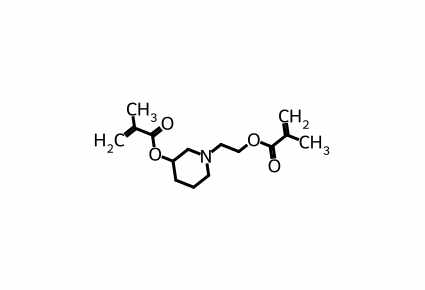 C=C(C)C(=O)OCCN1CCCC(OC(=O)C(=C)C)C1